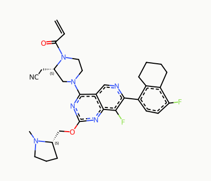 C=CC(=O)N1CCN(c2nc(OC[C@@H]3CCCN3C)nc3c(F)c(-c4ccc(F)c5c4CCCC5)ncc23)C[C@@H]1CC#N